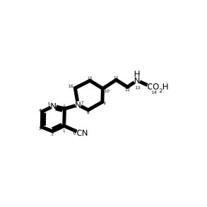 N#Cc1cccnc1N1CCC(CCNC(=O)O)CC1